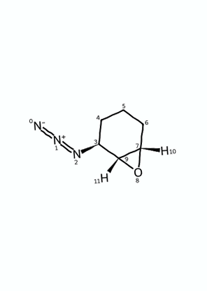 [N-]=[N+]=N[C@H]1CCC[C@@H]2O[C@H]12